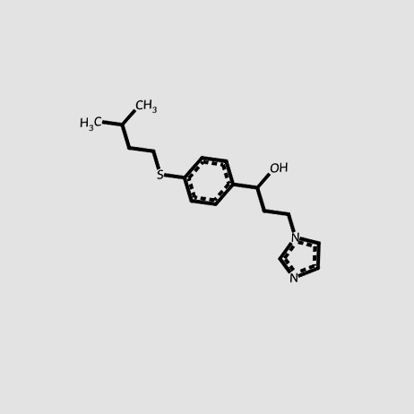 CC(C)CCSc1ccc(C(O)CCn2ccnc2)cc1